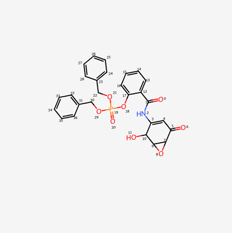 O=C(NC1=CC(=O)C2OC2C1O)c1ccccc1OP(=O)(OCc1ccccc1)OCc1ccccc1